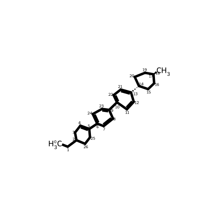 CCC1CC=C(c2ccc(-c3ccc([C@H]4CC[C@H](C)CC4)cc3)cc2)CC1